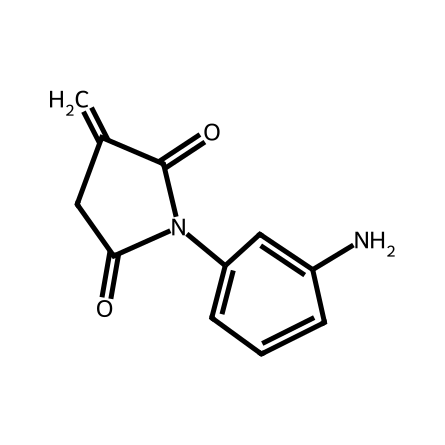 C=C1CC(=O)N(c2cccc(N)c2)C1=O